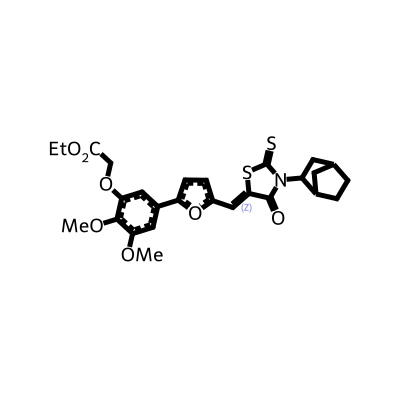 CCOC(=O)COc1cc(-c2ccc(/C=C3\SC(=S)N(C4CC5CCC4C5)C3=O)o2)cc(OC)c1OC